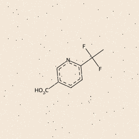 CC(F)(F)c1ccc(C(=O)O)cn1